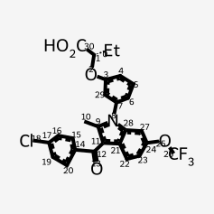 CC[C@H](Oc1cccc(-n2c(C)c(C(=O)c3ccc(Cl)cc3)c3ccc(OC(F)(F)F)cc32)c1)C(=O)O